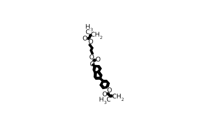 C=C(C)C(=O)OCCCCOC(=O)Oc1ccc2cc(-c3ccc(OC(=O)C(=C)C)cc3)ccc2c1